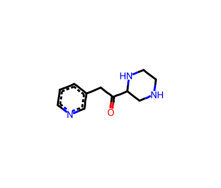 O=C(Cc1cccnc1)C1CNCCN1